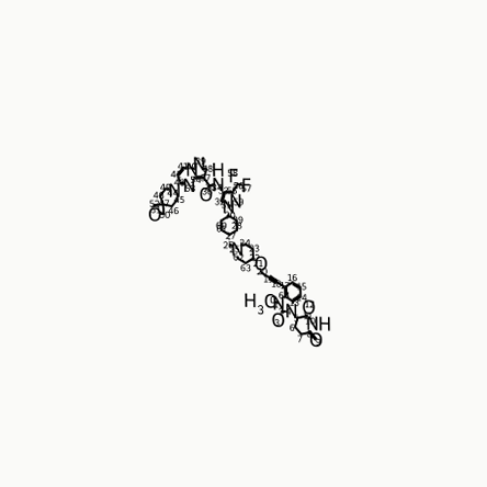 Cn1c(=O)n(C2CCC(=O)NC2=O)c2cccc(C#CCOC3CCN(C[C@H]4CC[C@H](n5cc(NC(=O)c6cnn7ccc(N8CCC9(CC8)COC9)nc67)c(C(F)F)n5)CC4)CC3)c21